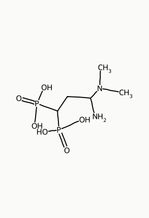 CN(C)C(N)CC(P(=O)(O)O)P(=O)(O)O